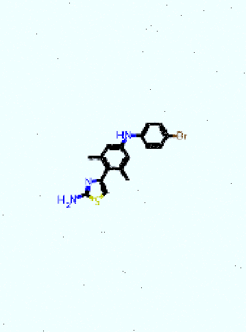 Cc1cc(Nc2ccc(Br)cc2)cc(C)c1-c1csc(N)n1